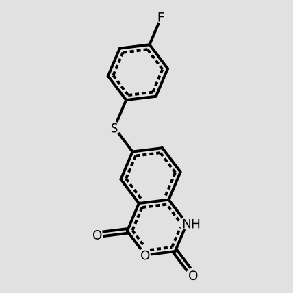 O=c1[nH]c2ccc(Sc3ccc(F)cc3)cc2c(=O)o1